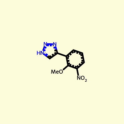 COc1c(-c2c[nH]nn2)cccc1[N+](=O)[O-]